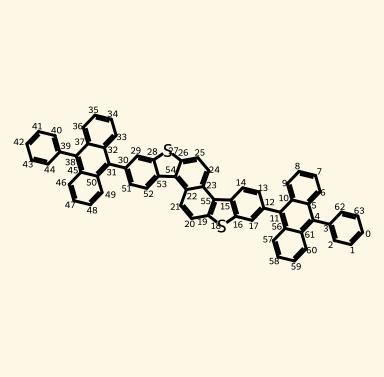 c1ccc(-c2c3ccccc3c(-c3ccc4c(c3)sc3ccc5c(ccc6sc7cc(-c8c9ccccc9c(-c9ccccc9)c9ccccc89)ccc7c65)c34)c3ccccc23)cc1